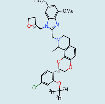 [2H]C([2H])([2H])Oc1cc(Cl)ccc1[C@H]1COc2ccc3c(c2O1)C(C)N(Cc1nc2c(OC)cc(C(=O)O)cc2n1C[C@@H]1CCO1)CC3